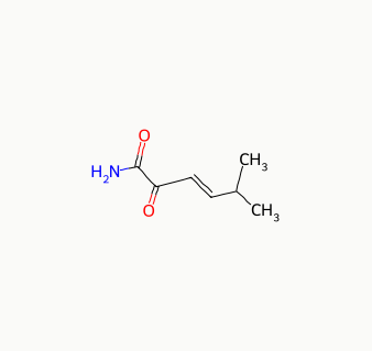 CC(C)C=CC(=O)C(N)=O